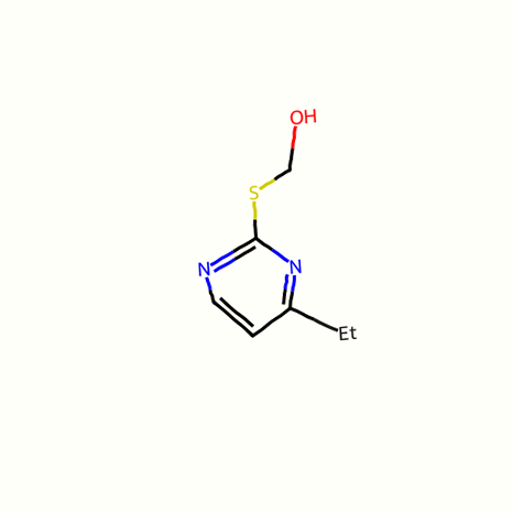 CCc1ccnc(SCO)n1